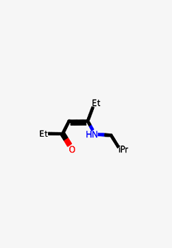 CCC(=O)/C=C(/CC)NCC(C)C